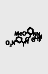 COc1cccc(-n2nnn(C)c2=O)c1CON=C(C)c1cccc([N+](=O)[O-])c1